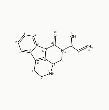 C=CC(O)N1CC2NCCc3c2n(c2ccccc32)C1=O